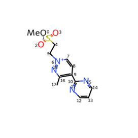 COS(=O)(=O)CC[n+]1ccc(-c2ncccn2)c(C)n1